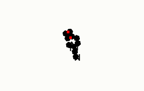 c1ccc(-c2nc(-c3ccc(-c4cccnc4)cc3)nc(-c3cccc(-c4cccc(-c5ccc6c(c5)-c5ccccc5C65c6ccccc6-c6ccccc65)c4)c3)n2)cc1